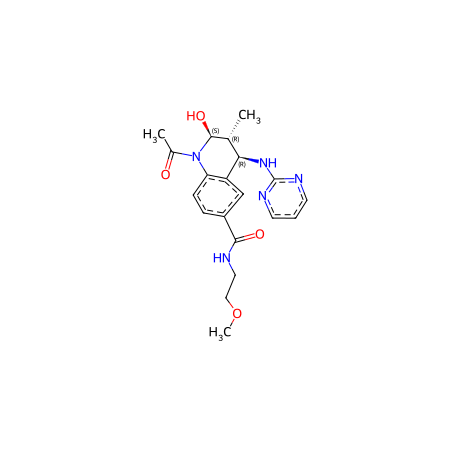 COCCNC(=O)c1ccc2c(c1)[C@H](Nc1ncccn1)[C@@H](C)[C@H](O)N2C(C)=O